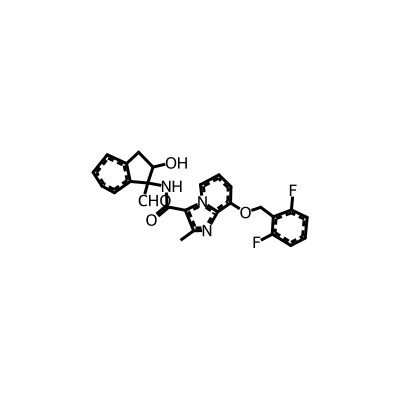 Cc1nc2c(OCc3c(F)cccc3F)cccn2c1C(=O)NC1(C=O)c2ccccc2CC1O